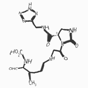 CC(CCNCC(=O)N1C(=O)NC[C@H]1C(=O)NCc1nn[nH]n1)C(C=O)NC(=O)O